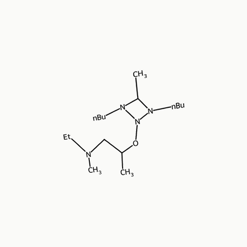 CCCCN1C(C)N(CCCC)N1OC(C)CN(C)CC